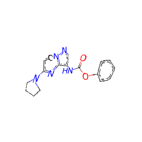 O=C(Nc1cnn2ccc(N3CCCC3)nc12)Oc1ccccc1